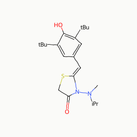 CC(C)N(C)N1C(=O)CSC1=Cc1cc(C(C)(C)C)c(O)c(C(C)(C)C)c1